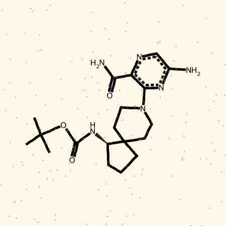 CC(C)(C)OC(=O)N[C@@H]1CCCC12CCN(c1nc(N)cnc1C(N)=O)CC2